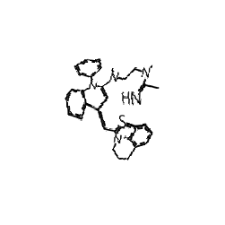 CC(=N)N(C)CCN(C)C1=CC(=Cc2sc3cccc4c3[n+]2CCC4)c2ccccc2N1c1ccccc1